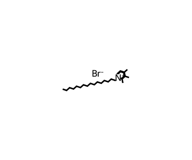 CCCCCCCCCCCCCCCC[n+]1ccc(C)c(C)c1C.[Br-]